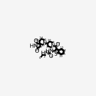 CCCNC(=O)Nc1sc2ccccc2c1C(=O)N1CCC(N2CCCC3(CC(=O)NC3=O)C2)CC1